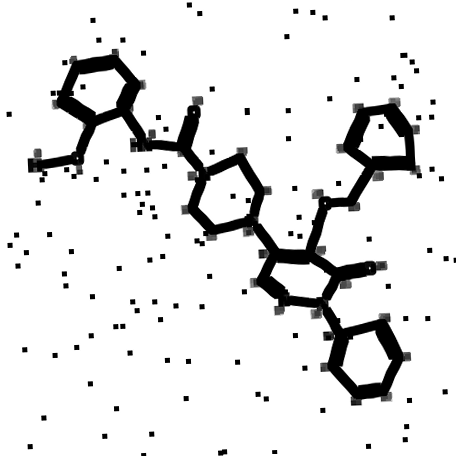 CCOc1ccccc1NC(=O)N1CCN(c2cnn(-c3ccccc3)c(=O)c2OCc2ccccc2)CC1